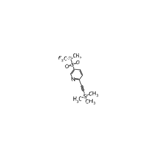 C[C@@H](C(F)(F)F)S(=O)(=O)c1ccc(C#C[Si](C)(C)C)nc1